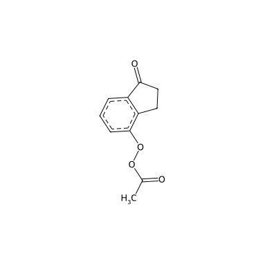 CC(=O)OOc1cccc2c1CCC2=O